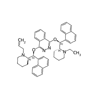 C=CCN1CCCC[C@@H]1[C@@H](Oc1nnc(O[C@@H](c2cccc3ccccc23)[C@H]2CCCCN2CC)c2ccccc12)c1cccc2ccccc12